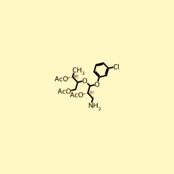 CC(=O)OCC(OC(Oc1cccc(Cl)c1)[C@H](CN)OC(C)=O)[C@@H](C)OC(C)=O